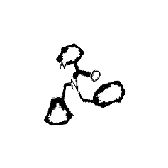 O=C(c1ccccn1)N(Cc1ccccc1)Cc1ccccc1